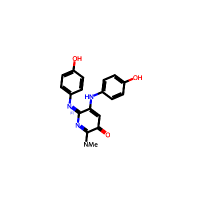 CNC1=N/C(=N/c2ccc(O)cc2)C(Nc2ccc(O)cc2)=CC1=O